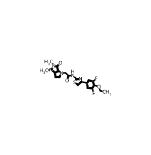 CCOc1c(F)cc(-c2csc(NC(=O)Cn3ccc4c3c(=O)n(C)n4C)n2)cc1F